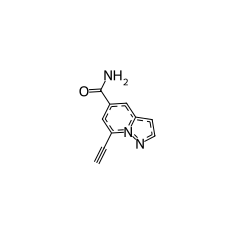 C#Cc1cc(C(N)=O)cc2ccnn12